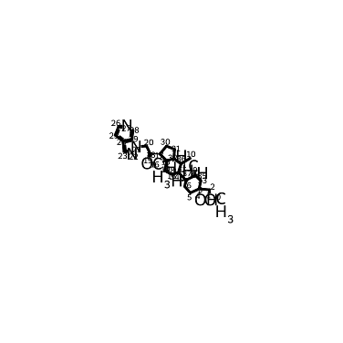 COC[C@@]1(O)CC[C@H]2[C@H](CC[C@@H]3[C@@H]2CC[C@]2(C)[C@@H](C(=O)Cn4ncc5ccncc54)CC[C@@H]32)C1